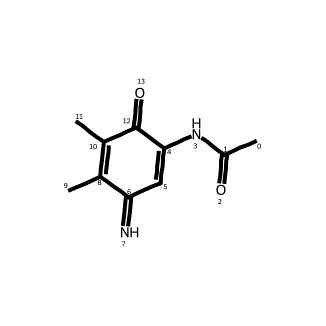 CC(=O)NC1=CC(=N)C(C)=C(C)C1=O